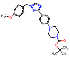 COc1ccc(Cn2cnc(-c3ccc(N4CCN(C(=O)OC(C)(C)C)CC4)cc3)n2)cc1